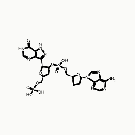 Nc1ncnc2c1ncn2[C@H]1CC[C@@H](COP(=O)(O)OC2C[C@@H](COP(=O)(O)O)O[C@H]2c2n[nH]c3c(=O)[nH]cnc23)O1